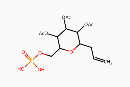 C=CCC1OC(COP(=O)(O)O)C(OC(C)=O)C(OC(C)=O)C1OC(C)=O